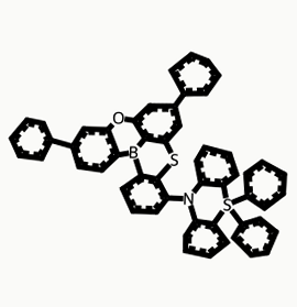 c1ccc(-c2ccc3c(c2)Oc2cc(-c4ccccc4)cc4c2B3c2cccc(N3c5ccccc5S(c5ccccc5)(c5ccccc5)c5ccccc53)c2S4)cc1